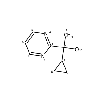 CC([O])(c1ncccn1)C1CC1